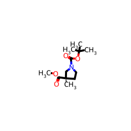 COC(=O)[C@]1(C)CCN(C(=O)OC(C)(C)C)C1